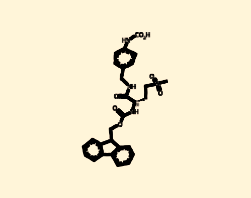 CS(=O)(=O)CC[C@H](NC(=O)OCC1c2ccccc2-c2ccccc21)C(=O)NCc1ccc(NC(=O)O)cc1